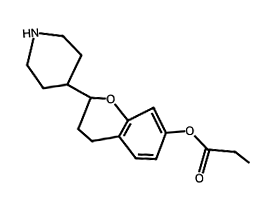 CCC(=O)Oc1ccc2c(c1)OC(C1CCNCC1)CC2